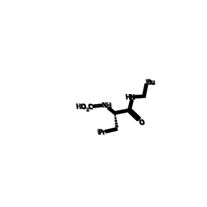 CCC(C)CNC(=O)[C@H](CC(C)C)NC(=O)O